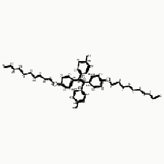 CCCCCCCCCCOc1ccc(/C(=C(\c2ccc(C)cc2)c2ccc(OCCCCCCCCCC)cc2)c2ccc(C)cc2)cc1